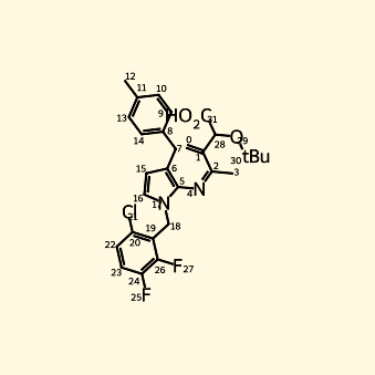 C=C(/C(C)=N\c1c(Cc2ccc(C)cc2)ccn1Cc1c(Cl)ccc(F)c1F)C(OC(C)(C)C)C(=O)O